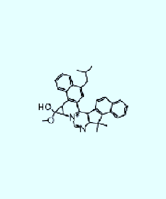 COC1(O)C2c3c(cc(CC(C)C)c4ccccc34)C3=[N+](C=NC4C3c3ccc5ccccc5c3C4(C)C)C21